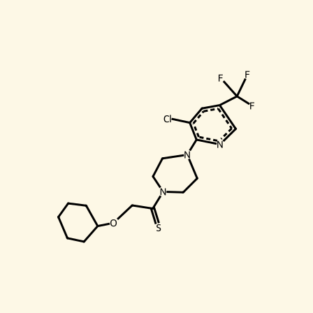 FC(F)(F)c1cnc(N2CCN(C(=S)COC3CCCCC3)CC2)c(Cl)c1